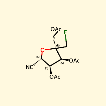 CC(=O)OC[C@@]1(CF)O[C@@H](C#N)[C@H](OC(C)=O)[C@@H]1OC(C)=O